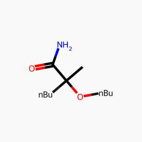 CCCCOC(C)(CCCC)C(N)=O